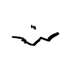 C=CC[CH2][Mg][CH3].I